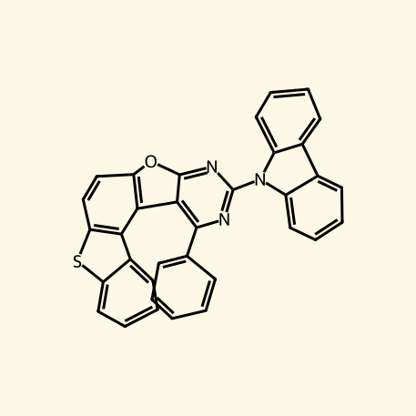 c1ccc(-c2nc(-n3c4ccccc4c4ccccc43)nc3oc4ccc5sc6ccccc6c5c4c23)cc1